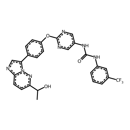 CC(O)c1ccc2ncc(-c3ccc(Oc4ncc(NC(=O)Nc5cccc(C(F)(F)F)c5)cn4)cc3)n2n1